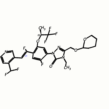 CCn1c(COC2CCCCO2)nn(-c2cc(O[C@@H](C)C(F)(F)F)c(/C(F)=C/c3cnccc3C(F)F)cc2F)c1=O